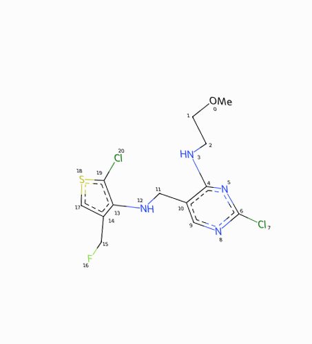 COCCNc1nc(Cl)ncc1CNc1c(CF)csc1Cl